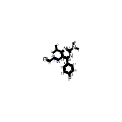 CC(C)c1nc(N(C)C)nc(-c2ccc(F)cc2)c1/C=C/C=O